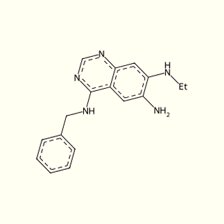 CCNc1cc2ncnc(NCc3ccccc3)c2cc1N